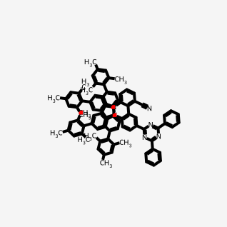 Cc1cc(C)c(-c2ccc3c(c2)c2cc(-c4c(C)cc(C)cc4C)ccc2n3-c2ccc(-c3nc(-c4ccccc4)nc(-c4ccccc4)n3)cc2-c2c(C#N)cccc2-n2c3ccc(-c4c(C)cc(C)cc4C)cc3c3cc(-c4c(C)cc(C)cc4C)ccc32)c(C)c1